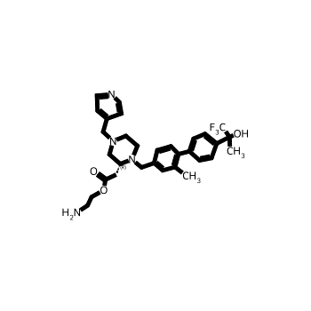 Cc1cc(CN2CCN(Cc3ccncc3)C[C@H]2CC(=O)OCCN)ccc1-c1ccc(C(C)(O)C(F)(F)F)cc1